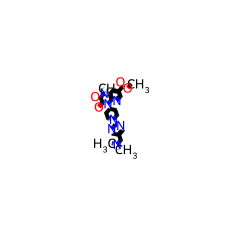 COC(=O)c1cnc2c(c1)n(C)c(=O)c(=O)n2C1CCN(c2ncc(CN(C)C)cn2)CC1